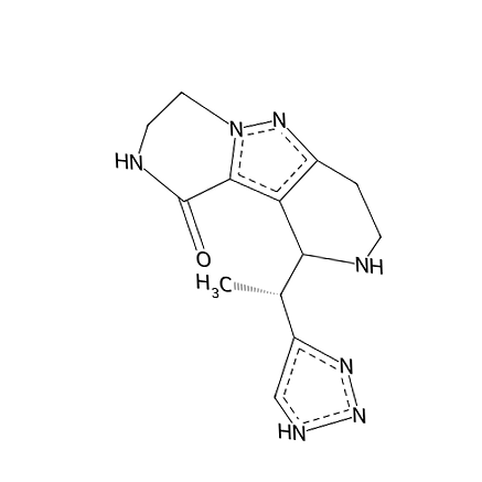 C[C@@H](c1c[nH]nn1)C1NCCc2nn3c(c21)C(=O)NCC3